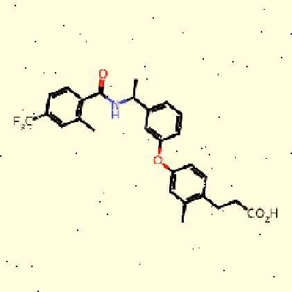 Cc1cc(Oc2cccc(C(C)NC(=O)c3ccc(C(F)(F)F)cc3C)c2)ccc1CCC(=O)O